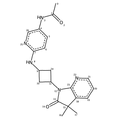 CC(=O)Nc1ccc(NC2CC(N3C(=O)C(C)(C)c4cccnc43)C2)nc1